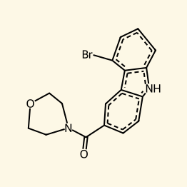 O=C(c1ccc2[nH]c3cccc(Br)c3c2c1)N1CCOCC1